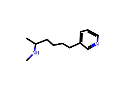 CNC(C)CCCCc1cccnc1